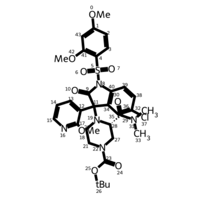 COc1ccc(S(=O)(=O)N2C(=O)C(c3cccnc3OC)(N3CCN(C(=O)OC(C)(C)C)C[C@H]3C(=O)N(C)C)c3cc(Cl)ccc32)c(OC)c1